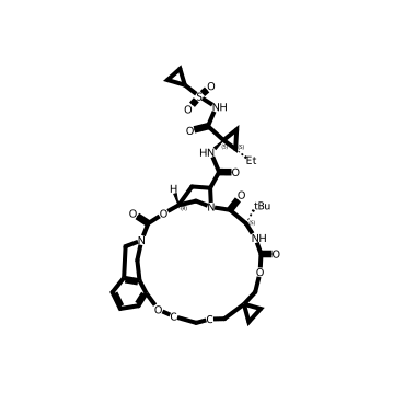 CC[C@H]1C[C@@]1(NC(=O)C1C[C@@H]2CN1C(=O)[C@H](C(C)(C)C)NC(=O)OCC1(CCCCOc3cccc4c3CN(C4)C(=O)O2)CC1)C(=O)NS(=O)(=O)C1CC1